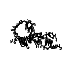 CCOC(=O)[C@H](Cc1ccc(N)nc1)NC(=O)N[C@@H]1Cc2ccc(cc2)OCCCCOC[C@H](C(C)C)NC1=O